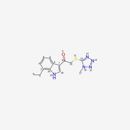 CCc1cccc2c(C(=O)CSc3nnnn3C)c[nH]c12